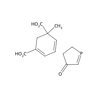 CC1(C(=O)O)C=CC=C(C(=O)O)C1.O=C1C=PCC1